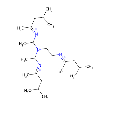 C/C(CC(C)C)=N\CCN(C(C)/N=C(\C)CC(C)C)C(C)/N=C(\C)CC(C)C